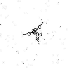 CCCCOCCO[Si](CCCl)(OCCOCCCC)OCCOCCCC